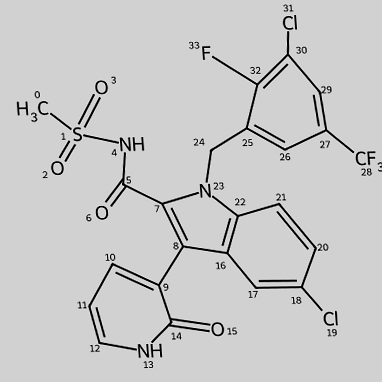 CS(=O)(=O)NC(=O)c1c(-c2ccc[nH]c2=O)c2cc(Cl)ccc2n1Cc1cc(C(F)(F)F)cc(Cl)c1F